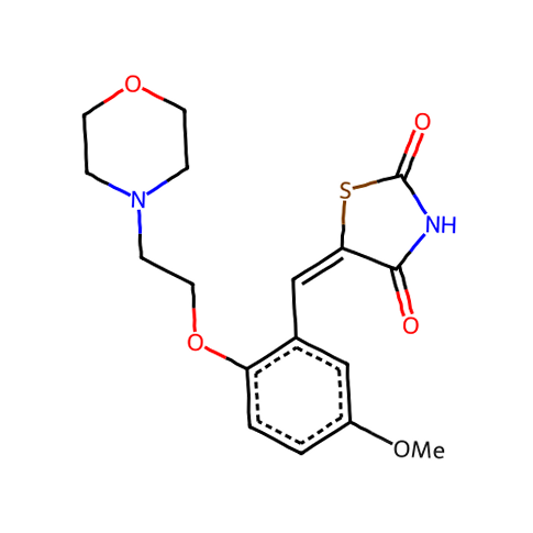 COc1ccc(OCCN2CCOCC2)c(C=C2SC(=O)NC2=O)c1